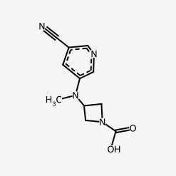 CN(c1cncc(C#N)c1)C1CN(C(=O)O)C1